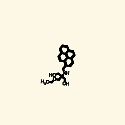 CCOCC(CO)(CO)NCc1ccc2ccc3cccc4ccc1c2c34